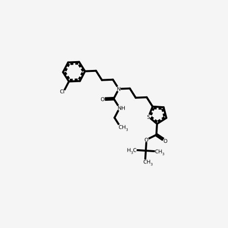 CCNC(=O)N(CCCc1cccc(Cl)c1)CCCc1ccc(C(=O)OC(C)(C)C)s1